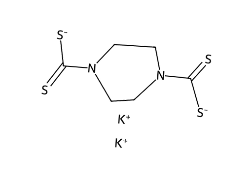 S=C([S-])N1CCN(C(=S)[S-])CC1.[K+].[K+]